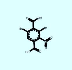 O=C(O)c1cc(Br)c(C(=O)O)c(Br)c1I(=O)=O